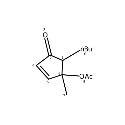 CCCCC1C(=O)C=CC1(C)OC(C)=O